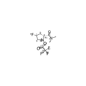 CN(C)C(=O)[C@H]1CC(F)CN1OC(=O)C(F)(F)F